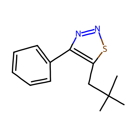 CC(C)(C)Cc1snnc1-c1ccccc1